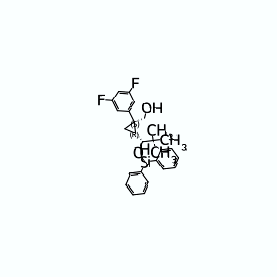 CC(C)(C)C(O[SiH](c1ccccc1)c1ccccc1)[C@@H]1C[C@@]1(CO)c1cc(F)cc(F)c1